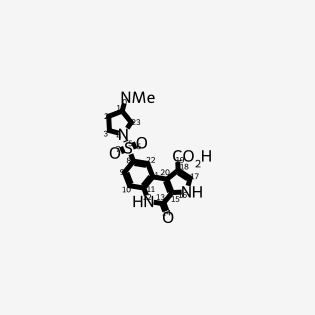 CNC1CCN(S(=O)(=O)c2ccc3[nH]c(=O)c4[nH]cc(C(=O)O)c4c3c2)C1